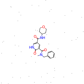 CN(Cc1ccccc1)C(=O)c1cc(C(=O)NC2CCOCC2)c[nH]c1=O